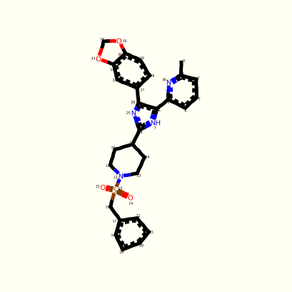 Cc1cccc(-c2[nH]c(C3CCN(S(=O)(=O)Cc4ccccc4)CC3)nc2-c2ccc3c(c2)OCO3)n1